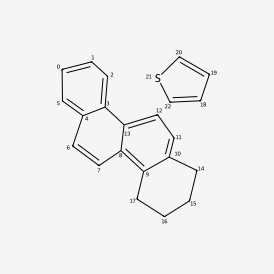 c1ccc2c(c1)ccc1c3c(ccc12)CCCC3.c1ccsc1